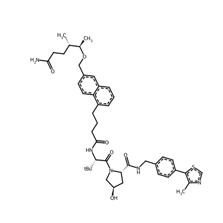 Cc1ncsc1-c1ccc(CNC(=O)[C@@H]2C[C@@H](O)CN2C(=O)[C@@H](NC(=O)CCCc2cccc3cc(CO[C@H](C)[C@@H](C)CCC(N)=O)ccc23)C(C)(C)C)cc1